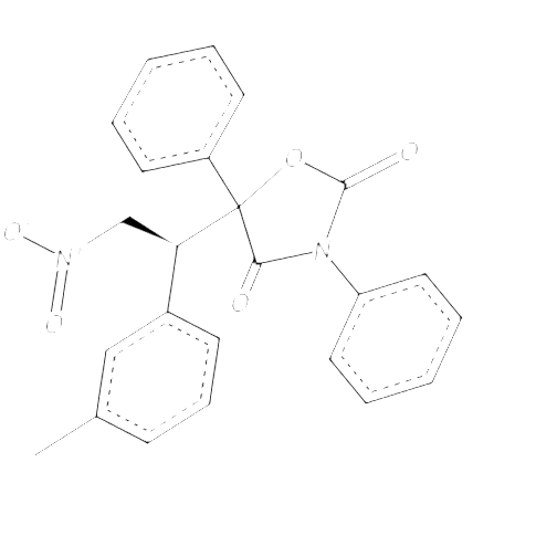 Cc1cccc([C@@H](C[N+](=O)[O-])C2(c3ccccc3)OC(=O)N(c3ccccc3)C2=O)c1